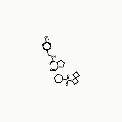 O=C(NCc1ccc(C(F)(F)F)cc1)[C@H]1CCCN1C(=O)[C@H]1CCCN(S(=O)(=O)N2CCC23CCC3)C1